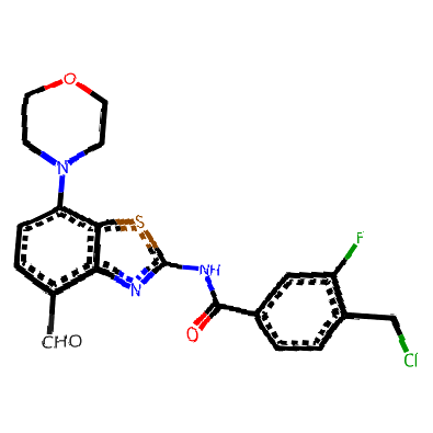 O=Cc1ccc(N2CCOCC2)c2sc(NC(=O)c3ccc(CCl)c(F)c3)nc12